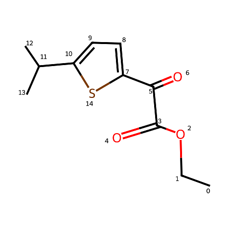 CCOC(=O)C(=O)c1ccc(C(C)C)s1